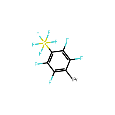 CC(C)c1c(F)c(F)c(S(F)(F)(F)(F)F)c(F)c1F